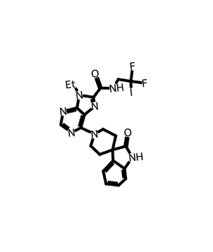 CCn1c(C(=O)NCC(F)(F)I)nc2c(N3CCC4(CC3)C(=O)Nc3ccccc34)ncnc21